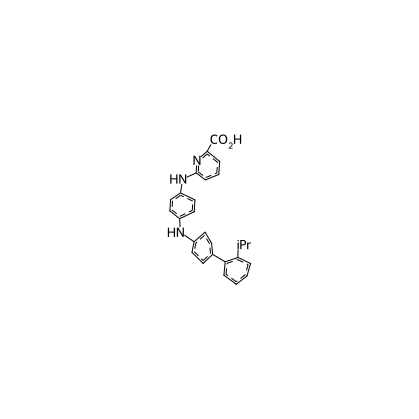 CC(C)c1ccccc1-c1ccc(Nc2ccc(Nc3cccc(C(=O)O)n3)cc2)cc1